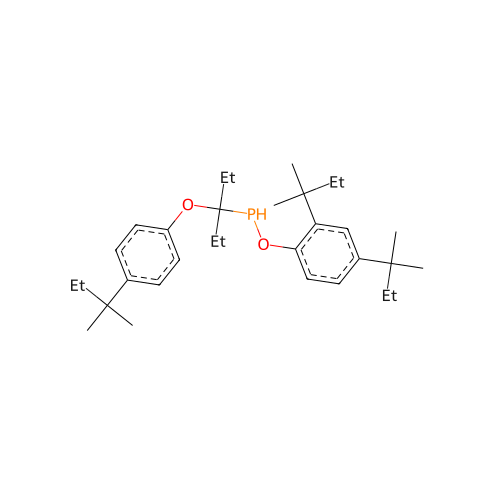 CCC(CC)(Oc1ccc(C(C)(C)CC)cc1)POc1ccc(C(C)(C)CC)cc1C(C)(C)CC